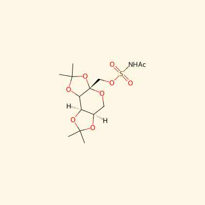 CC(=O)NS(=O)(=O)OC[C@@]12OC[C@H]3OC(C)(C)O[C@H]3C1OC(C)(C)O2